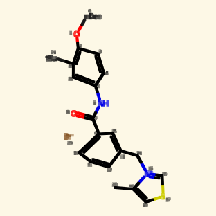 CCCCCCCCCCOc1ccc(NC(=O)c2cccc(C[n+]3cscc3C)c2)cc1C(C)(C)C.[Br-]